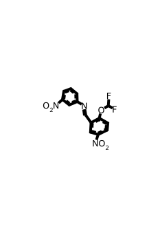 O=[N+]([O-])c1cccc(N=Cc2cc([N+](=O)[O-])ccc2OC(F)F)c1